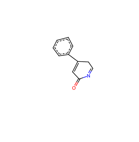 O=C1C=C(c2ccccc2)CC=N1